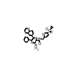 Nc1nc(-c2ccccc2)c(-c2ccc3ncccc3c2)nc1C(=O)NCc1ccc(S(=O)(=O)C2CC2)cn1